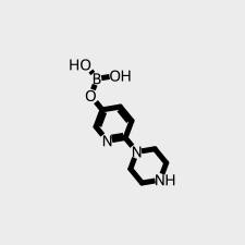 OB(O)Oc1ccc(N2CCNCC2)nc1